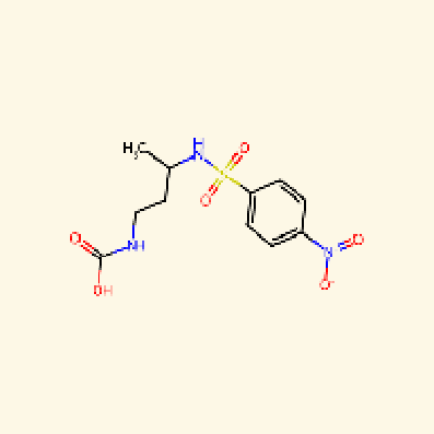 CC(CCNC(=O)O)NS(=O)(=O)c1ccc([N+](=O)[O-])cc1